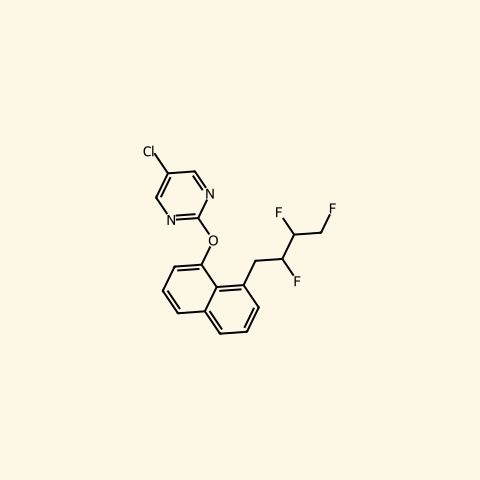 FCC(F)C(F)Cc1cccc2cccc(Oc3ncc(Cl)cn3)c12